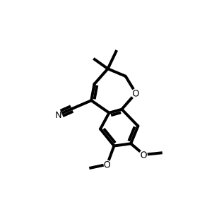 COc1cc2c(cc1OC)C(C#N)=CC(C)(C)CO2